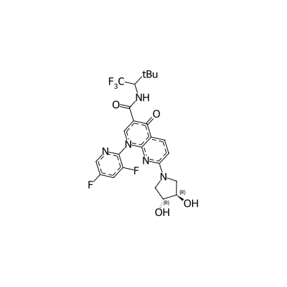 CC(C)(C)C(NC(=O)c1cn(-c2ncc(F)cc2F)c2nc(N3C[C@@H](O)[C@H](O)C3)ccc2c1=O)C(F)(F)F